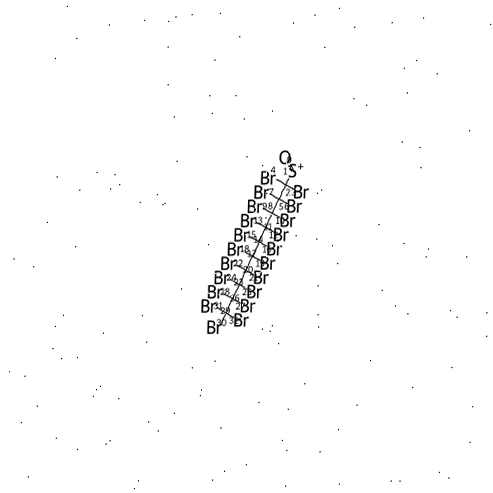 O=[S+]C(Br)(Br)C(Br)(Br)C(Br)(Br)C(Br)(Br)C(Br)(Br)C(Br)(Br)C(Br)(Br)C(Br)(Br)C(Br)(Br)C(Br)(Br)Br